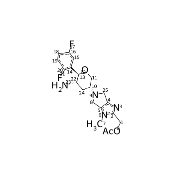 CC(=O)OCc1nc2c(n1C)CN([C@H]1CO[C@H](c3cc(F)ccc3F)[C@@H](N)C1)C2